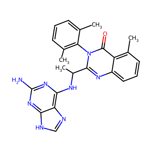 Cc1cccc(C)c1-n1c(C(C)Nc2nc(N)nc3[nH]cnc23)nc2cccc(C)c2c1=O